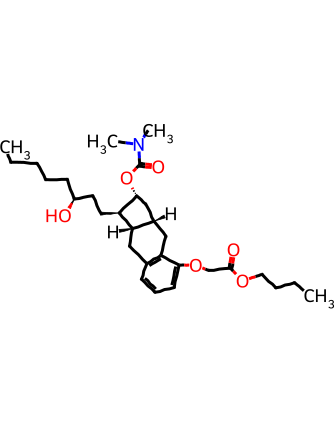 CCCCC[C@H](O)CC[C@@H]1[C@H]2Cc3cccc(OCC(=O)OCCCC)c3C[C@H]2C[C@H]1OC(=O)N(C)C